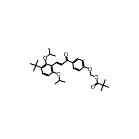 CC(C)Oc1ccc(C(C)(C)C)c(OC(C)C)c1/C=C/C(=O)c1ccc(OCOC(=O)C(C)(C)C)cc1